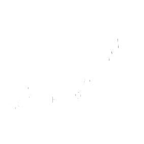 O=C(C/C=C/c1ccc(C(F)(F)F)cc1F)OCc1cccc(Oc2ccccc2)c1